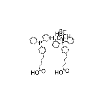 Br.CN(C)[P+](c1ccccc1)(c1ccccc1)c1ccc(CCCCC(=O)O)cc1.O=C(O)CCCCc1ccc(P(c2ccccc2)c2ccccc2)cc1.[Br-]